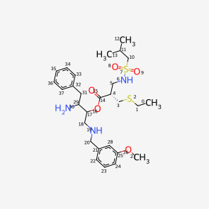 CCSC[C@@H](CNS(=O)(=O)CC(C)C)C(=O)OC(CNCc1cccc(OC)c1)C(N)Cc1ccccc1